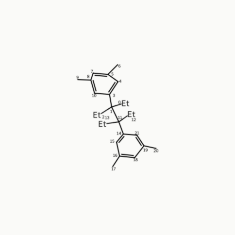 CCC(CC)(c1cc(C)cc(C)c1)C(CC)(CC)c1cc(C)cc(C)c1